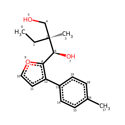 CC[C@@](C)(CO)[C@@H](O)c1occc1-c1ccc(C)cc1